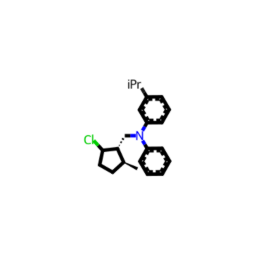 CC(C)c1cccc(N(C[C@H]2C(Cl)CC[C@@H]2C)c2ccccc2)c1